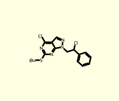 CCC(C)Sc1nc(Cl)c2cnn(CC(Cl)c3ccccc3)c2n1